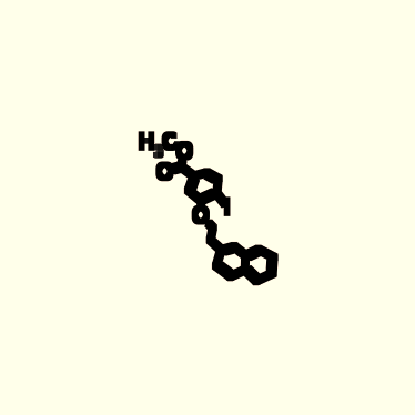 COC(=O)c1ccc(I)c(OCCc2ccc3ccccc3c2)c1